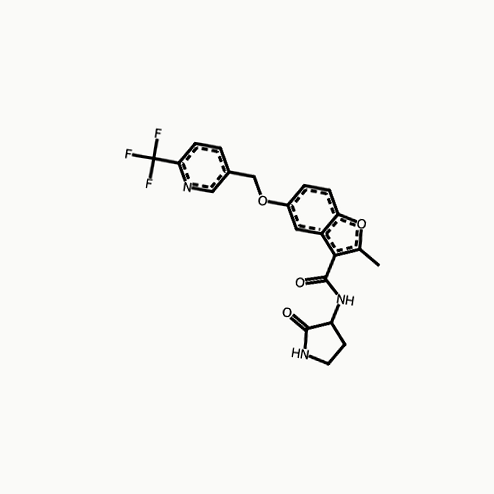 Cc1oc2ccc(OCc3ccc(C(F)(F)F)nc3)cc2c1C(=O)NC1CCNC1=O